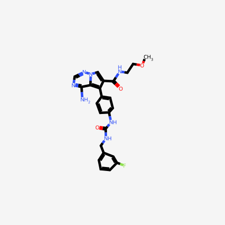 COCCNC(=O)c1cn2ncnc(N)c2c1-c1ccc(NC(=O)NCc2cccc(F)c2)cc1